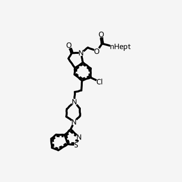 CCCCCCCC(=O)OCN1C(=O)Cc2cc(CCN3CCN(c4nsc5ccccc45)CC3)c(Cl)cc21